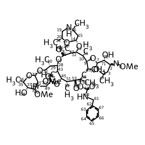 CON=C1C[C@@H](C)O[C@@H](O[C@@H]2[C@@H](C)[C@H](O[C@H]3C[C@H](C)NC[C@H](C)O3)[C@@H](C)C(=O)O[C@H]([C@@H](C)CO[C@@H]3O[C@H](C)[C@@H](O)[C@@H](OC)[C@H]3OC)[C@H](C)[C@@H](OC(=O)CC(C)C)[C@@H](C)C(=O)[C@@](C)(OC(=O)NCc3ccccc3)C[C@@H]2C)[C@@H]1O